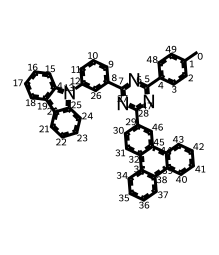 Cc1ccc(-c2nc(-c3cccc(-n4c5ccccc5c5ccccc54)c3)nc(-c3ccc4c5ccccc5c5ccccc5c4c3)n2)cc1